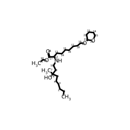 CCCCCCC(C)(O)CCNC(CCCCCCCOC1CCCCO1)C(=O)OCC